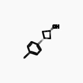 Cc1ccc([C@H]2C[C@@H](O)C2)cc1